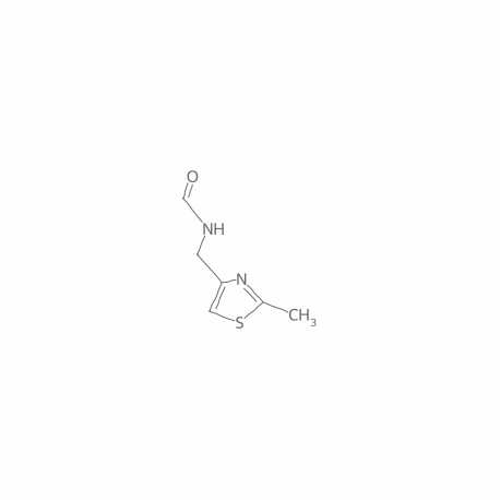 Cc1nc(CNC=O)cs1